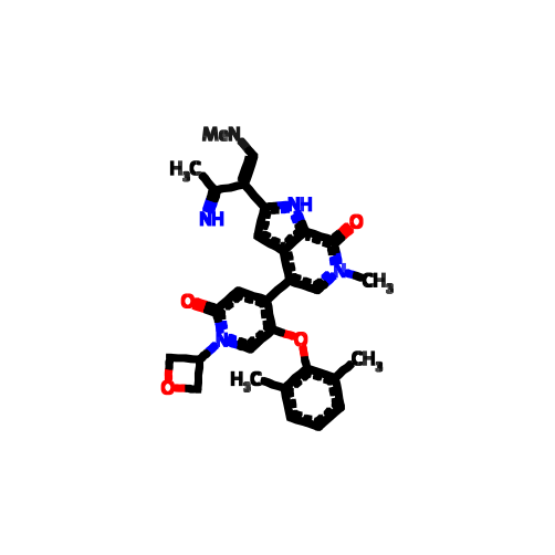 CN/C=C(\C(C)=N)c1cc2c(-c3cc(=O)n(C4COC4)cc3Oc3c(C)cccc3C)cn(C)c(=O)c2[nH]1